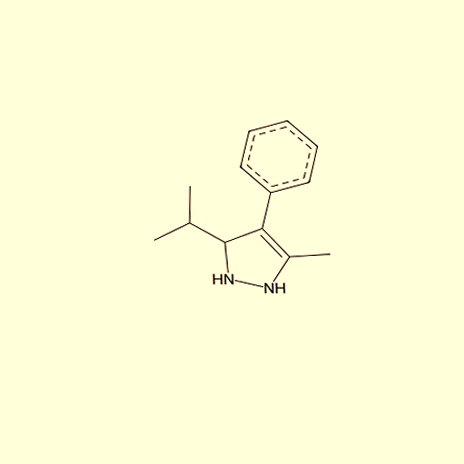 CC1=C(c2ccccc2)C(C(C)C)NN1